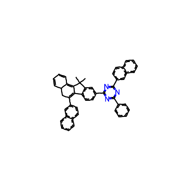 CC1(C)C2=C3C=CC=CC3CC(c3ccc4ccccc4c3)=C2c2ccc(-c3nc(-c4ccccc4)nc(-c4ccc5ccccc5c4)n3)cc21